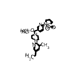 CCc1cnc(N2CCN(C(=O)c3ccc(N4CCCS4(=O)=O)nc3)CC2)c(C)c1.Cl.Cl